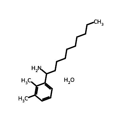 CCCCCCCCCC(N)c1cccc(C)c1C.O